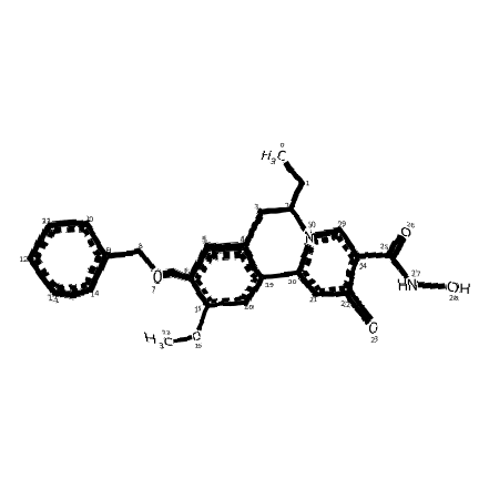 CCC1Cc2cc(OCc3ccccc3)c(OC)cc2-c2cc(=O)c(C(=O)NO)cn21